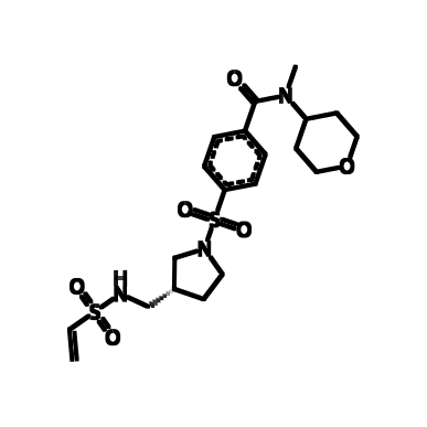 C=CS(=O)(=O)NC[C@H]1CCN(S(=O)(=O)c2ccc(C(=O)N(C)C3CCOCC3)cc2)C1